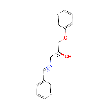 O[C@@H](C/N=C/c1ccccc1)COc1ccccc1